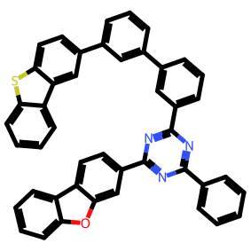 c1ccc(-c2nc(-c3cccc(-c4cccc(-c5ccc6sc7ccccc7c6c5)c4)c3)nc(-c3ccc4c(c3)oc3ccccc34)n2)cc1